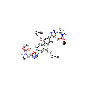 COCCOc1cc(-c2nnc([C@@H]3CCCN3C(=O)OC(C)(C)C)o2)ccc1-c1ccc(-c2nnc([C@@H]3CCCN3C(=O)OC(C)(C)C)o2)cc1OCCOC